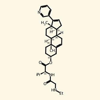 CCNCC(=O)N[C@H](C(=O)O[C@H]1CC[C@@]2(C)C(=CC[C@@H]3[C@@H]2CC[C@]2(C)C(c4cccnc4)=CC[C@@H]32)C1)C(C)C